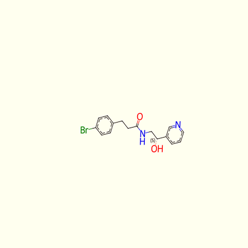 O=C(CCc1ccc(Br)cc1)NC[C@@H](O)c1cccnc1